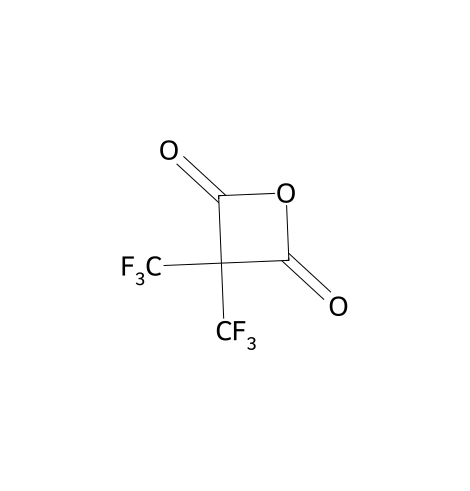 O=C1OC(=O)C1(C(F)(F)F)C(F)(F)F